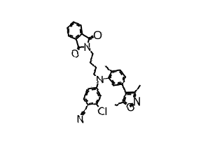 Cc1ccc(-c2c(C)noc2C)cc1N(CCCCN1C(=O)c2ccccc2C1=O)c1ccc(C#N)c(Cl)c1